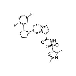 Cc1nc(C)c(S(=O)(=O)NC(=O)c2cnn3ccc(N4CCCC4c4cc(F)ccc4F)cc23)s1